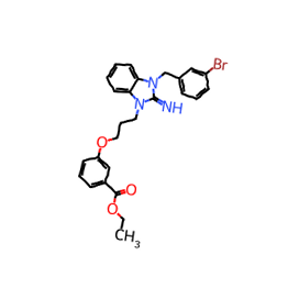 CCOC(=O)c1cccc(OCCCn2c(=N)n(Cc3cccc(Br)c3)c3ccccc32)c1